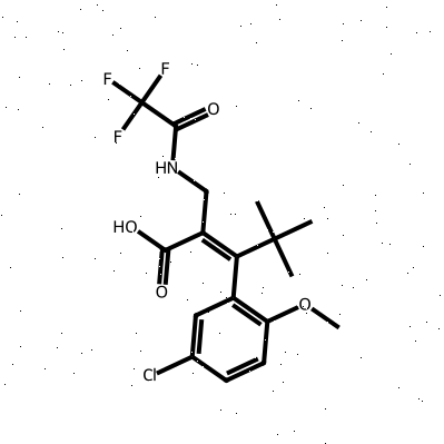 COc1ccc(Cl)cc1C(=C(CNC(=O)C(F)(F)F)C(=O)O)C(C)(C)C